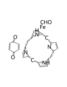 C1=Cc2cc3ccc(cc4nc(cc5ccc(cc1n2)[nH]5)C=C4)[nH]3.O=C1C=CC(=O)C=C1.O=[CH][Fe]